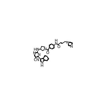 N#Cc1cnc(NC2CCN(C(=O)c3ccc(NC(=O)C=CCn4ccnc4)cc3)C2)nc1-c1c[nH]c2ccccc12